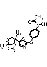 CC(=O)N(C)c1ccc(Sc2ncc([C@@]3(C)COC(C)(C)O3)s2)cc1